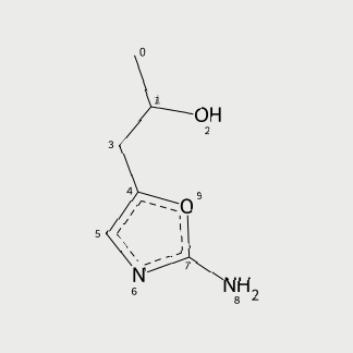 CC(O)Cc1cnc(N)o1